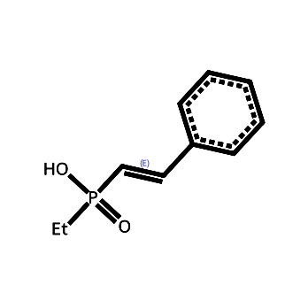 CCP(=O)(O)/C=C/c1ccccc1